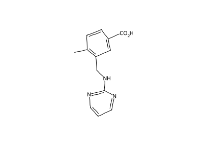 Cc1ccc(C(=O)O)cc1CNc1ncccn1